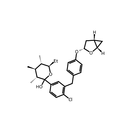 CC[C@H]1OC(O)(c2ccc(Cl)c(Cc3ccc(O[C@@H]4C[C@@H]5C[C@@H]5O4)cc3)c2)[C@H](C)[C@@H](C)[C@@H]1C